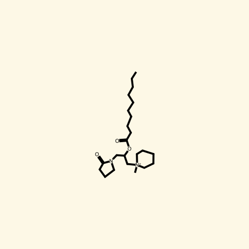 CCCCCCCCCC(=O)OC(CN1CCCC1=O)C[N+]1(C)CCCCC1